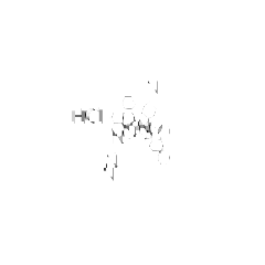 CCOc1ccccc1C1(OC(=O)ON2CCC(N3CCN(C)CC3)CC2)C(=O)N(S(=O)(=O)c2ccc(OC)cc2OC)c2ccc(C#N)cc21.Cl.Cl